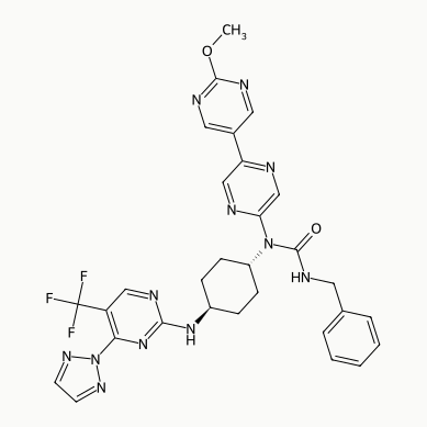 COc1ncc(-c2cnc(N(C(=O)NCc3ccccc3)[C@H]3CC[C@H](Nc4ncc(C(F)(F)F)c(-n5nccn5)n4)CC3)cn2)cn1